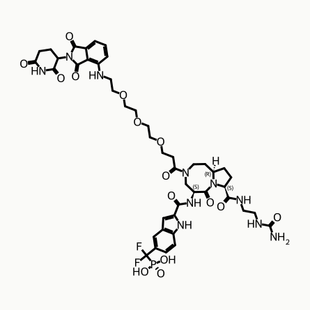 NC(=O)NCCNC(=O)[C@@H]1CC[C@@H]2CCN(C(=O)CCOCCOCCOCCNc3cccc4c3C(=O)N(C3CCC(=O)NC3=O)C4=O)C[C@H](NC(=O)c3cc4cc(C(F)(F)P(=O)(O)O)ccc4[nH]3)C(=O)N21